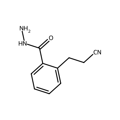 N#CCCc1ccccc1C(=O)NN